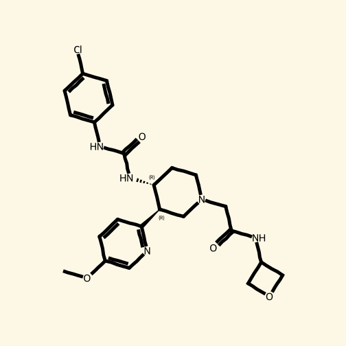 COc1ccc([C@@H]2CN(CC(=O)NC3COC3)CC[C@H]2NC(=O)Nc2ccc(Cl)cc2)nc1